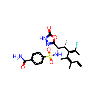 C=C/C(C)=C(C)\C(=C(/C)F)[C@@H](C)[C@H](NS(=O)(=O)c1ccc(C(N)=O)cc1)c1n[nH]c(=O)o1